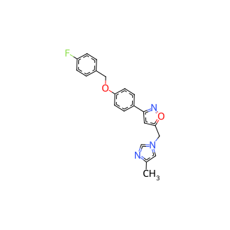 Cc1cn(Cc2cc(-c3ccc(OCc4ccc(F)cc4)cc3)no2)cn1